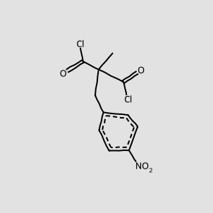 CC(Cc1ccc([N+](=O)[O-])cc1)(C(=O)Cl)C(=O)Cl